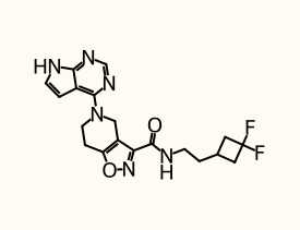 O=C(NCCC1CC(F)(F)C1)c1noc2c1CN(c1ncnc3[nH]ccc13)CC2